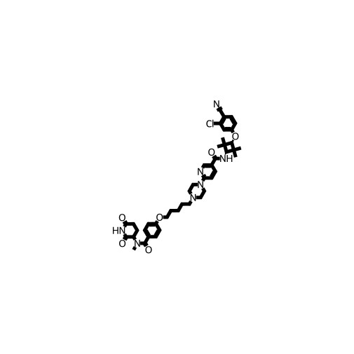 CN(C(=O)c1ccc(OCCCCCN2CCN(c3ccc(C(=O)N[C@H]4C(C)(C)[C@H](Oc5ccc(C#N)c(Cl)c5)C4(C)C)cn3)CC2)cc1)C1CCC(=O)NC1=O